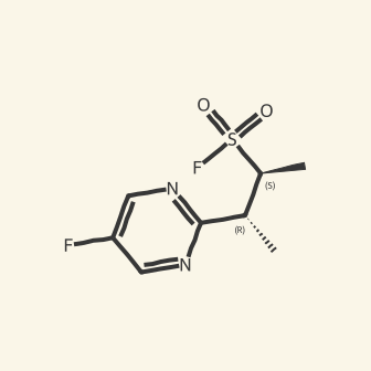 C[C@H](c1ncc(F)cn1)[C@H](C)S(=O)(=O)F